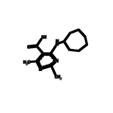 Cc1nc(C)c(C(=O)S)c(NC2CCCCCC2)n1